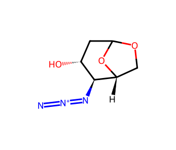 [N-]=[N+]=N[C@H]1[C@H](O)CC2OC[C@H]1O2